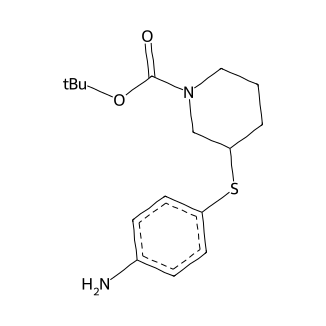 CC(C)(C)OC(=O)N1CCCC(Sc2ccc(N)cc2)C1